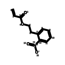 C=CC(=O)OCCc1ccccc1[N+](=O)[O-]